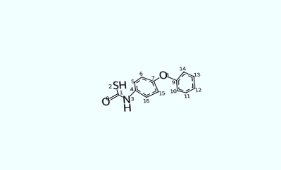 O=C(S)Nc1ccc(Oc2ccccc2)cc1